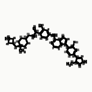 CCc1cc(Nc2nccn3c(-c4ccc(-c5c[nH]nc5C)nc4F)cnc23)ccc1C(=O)NCC1CC[N+](C)(CC2CNC2)CC1